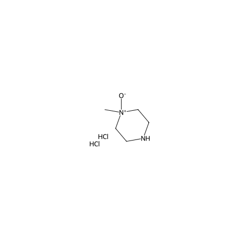 C[N+]1([O-])CCNCC1.Cl.Cl